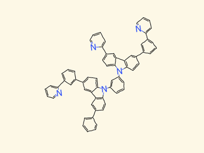 c1ccc(-c2ccc3c(c2)c2cc(-c4cccc(-c5ccccn5)c4)ccc2n3-c2cccc(-n3c4ccc(-c5cccc(-c6ccccn6)c5)cc4c4cc(-c5ccccn5)ccc43)c2)cc1